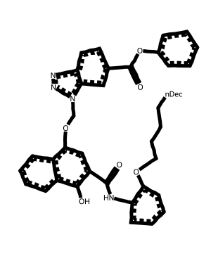 CCCCCCCCCCCCCCOc1ccccc1NC(=O)c1cc(OCn2nnc3ccc(C(=O)Oc4ccccc4)cc32)c2ccccc2c1O